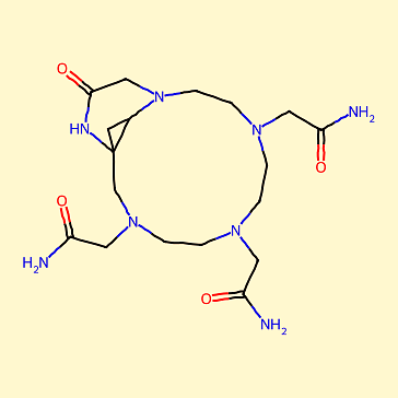 NC(=O)CN1CCN(CC(N)=O)CCN2CC(=O)NC3(CC23)CN(CC(N)=O)CC1